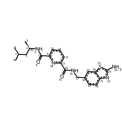 CC(C)C[C@@H](C)NC(=O)c1cccc(C(=O)NCc2ccc3nc(N)sc3c2)n1